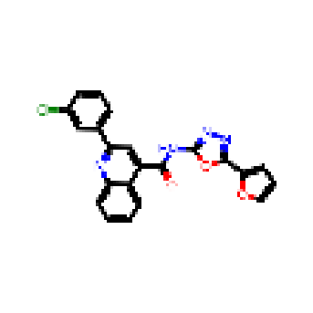 O=C(Nc1nnc(-c2ccco2)o1)c1cc(-c2cccc(Cl)c2)nc2ccccc12